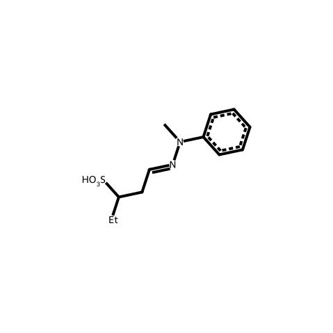 [CH2]CC(CC=NN(C)c1ccccc1)S(=O)(=O)O